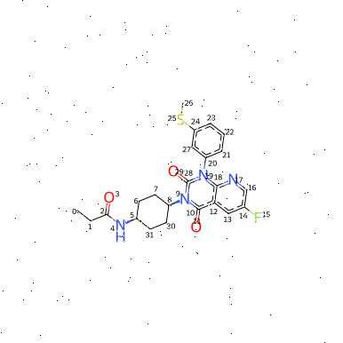 CCC(=O)N[C@H]1CC[C@@H](n2c(=O)c3cc(F)cnc3n(-c3cccc(SC)c3)c2=O)CC1